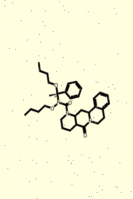 CCCCON(C(=O)N1CCCC2C(=O)N3CCc4ccccc4C3CC21)[C@](C)(OCCCC)c1ccccc1